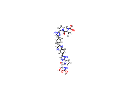 COC[C@H](NC(=O)OC)C(=O)N1CCC[C@H]1c1ncc(-c2ccc3nc(-c4ccc(-c5c[nH]c([C@@H]6CCCN6C(=O)[C@H](C(C)C)N(C)C(=O)O)n5)cc4)cnc3c2)[nH]1